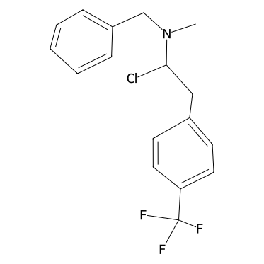 CN(Cc1ccccc1)C(Cl)Cc1ccc(C(F)(F)F)cc1